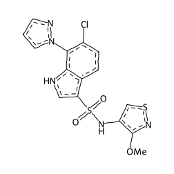 COc1nscc1NS(=O)(=O)c1c[nH]c2c(-n3cccn3)c(Cl)ccc12